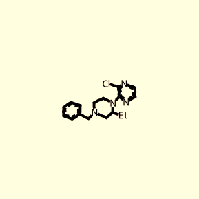 CCC1CN(Cc2ccccc2)CCN1c1nccnc1Cl